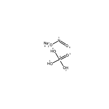 O=N[O-].O=P(O)(O)O.[Na+]